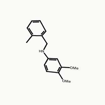 COc1ccc(NCc2ccccc2C)cc1OC